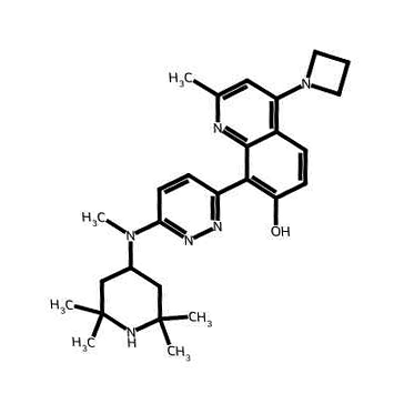 Cc1cc(N2CCC2)c2ccc(O)c(-c3ccc(N(C)C4CC(C)(C)NC(C)(C)C4)nn3)c2n1